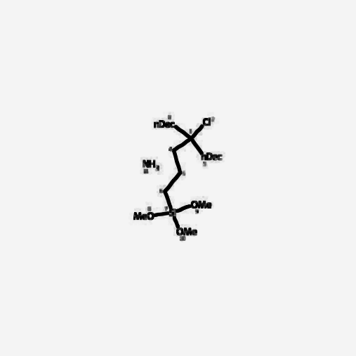 CCCCCCCCCCC(Cl)(CCCCCCCCCC)CCC[Si](OC)(OC)OC.N